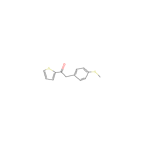 CSc1ccc(CC(=O)c2cccs2)cc1